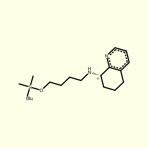 CC(C)(C)[Si](C)(C)OCCCCN[C@H]1CCCc2cccnc21